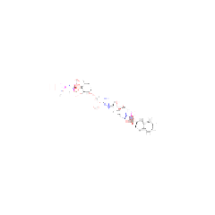 CC(O)CNS(=O)(=O)c1cccc(OCC(O)CNC2COC3(CCN(S(=O)(=O)c4ccc5ccccc5c4)CC3)C2)c1